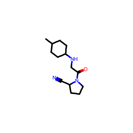 CC1CCC(NCC(=O)N2CCCC2C#N)CC1